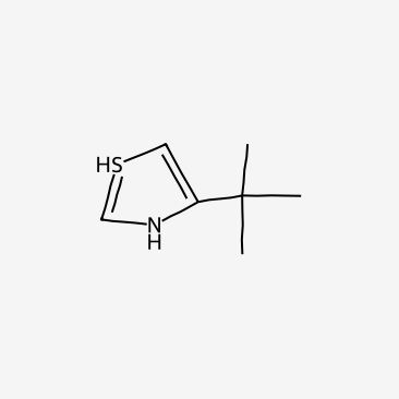 CC(C)(C)C1=C[SH]=CN1